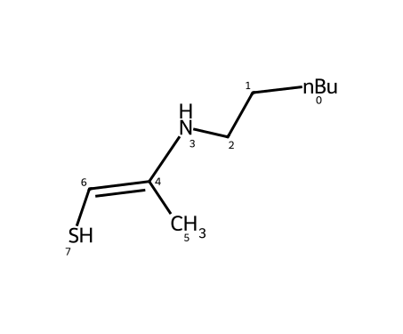 CCCCCCN/C(C)=C/S